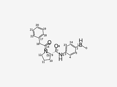 CBc1ccc(NC(=O)[C@@H]2CCCN2C(=O)Cc2ccccc2)cc1